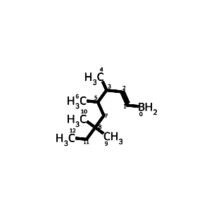 BC=CC(C)C(C)CC(C)(C)CC